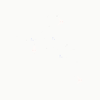 COc1ccc(-c2nc(-c3cc(C(=O)NCC(C)C)c(C)n3CC3CCCO3)cs2)cc1